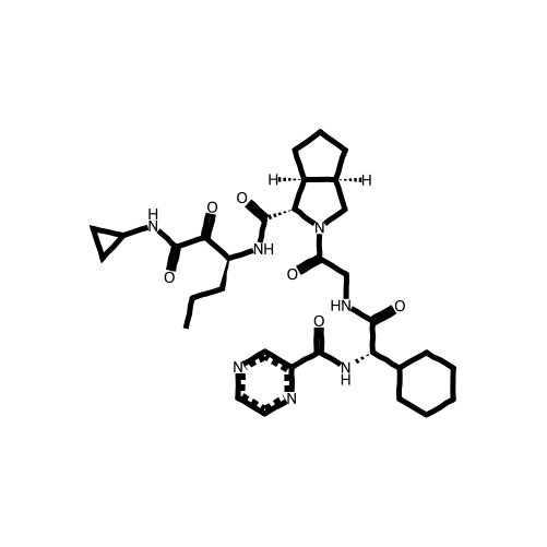 CCC[C@H](NC(=O)[C@@H]1[C@H]2CCC[C@H]2CN1C(=O)CNC(=O)[C@@H](NC(=O)c1cnccn1)C1CCCCC1)C(=O)C(=O)NC1CC1